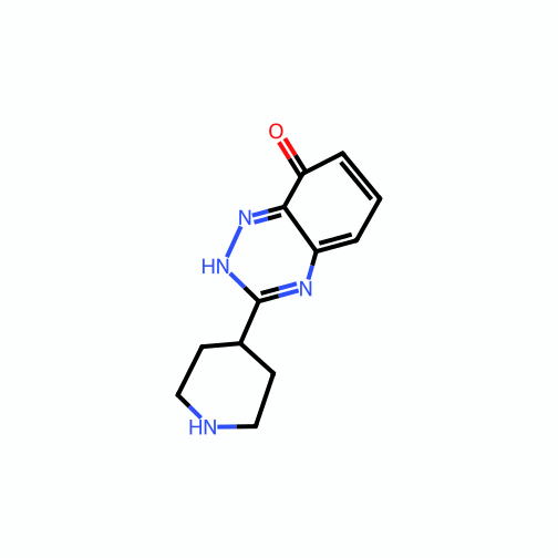 O=c1cccc2nc(C3CCNCC3)[nH]nc1-2